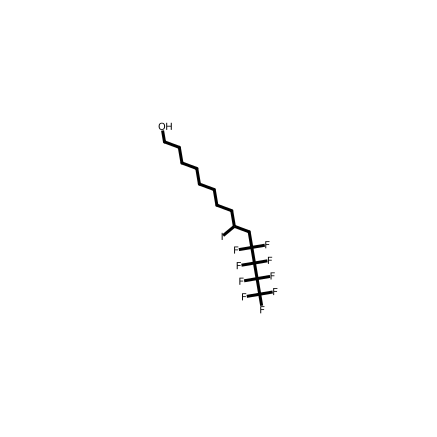 OCCCCCCCCC(I)CC(F)(F)C(F)(F)C(F)(F)C(F)(F)F